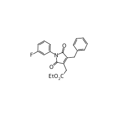 CCOC(=O)CC1=C(Cc2ccccc2)C(=O)N(c2cccc(F)c2)C1=O